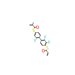 C=CC(=O)Sc1ccc(-c2ccc(SC(=O)C(=C)C)cc2F)c(F)c1F